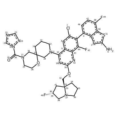 Nc1nc2c(-c3c(Cl)cc4c(N5CCCC6(CN(C(=O)n7cncn7)CCO6)C5)nc(OC[C@@]56CCCN5C[C@H](F)C6)nc4c3F)ccc(F)c2s1